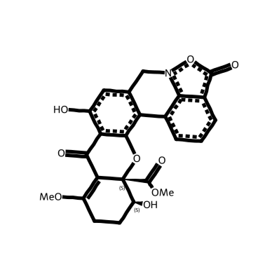 COC(=O)[C@]12Oc3c(c(O)cc4c3-c3cccc5c(=O)on(c35)C4)C(=O)C1=C(OC)CC[C@@H]2O